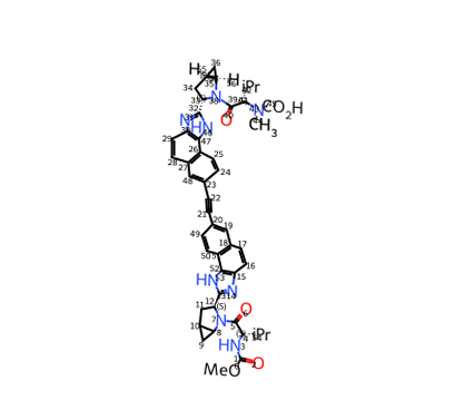 COC(=O)N[C@H](C(=O)N1C2CC2C[C@H]1c1nc2ccc3cc(C#Cc4ccc5c(ccc6nc([C@@H]7C[C@H]8C[C@H]8N7C(=O)[C@H](C(C)C)N(C)C(=O)O)[nH]c65)c4)ccc3c2[nH]1)C(C)C